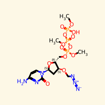 COP(=O)(O)OP(=O)(OC)OP(=O)(OC)OC[C@H]1O[C@H](n2ccc(N)nc2=O)C[C@@H]1OCN=[N+]=[N-]